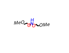 COCCONOCCOC